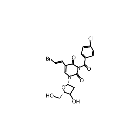 O=C(c1ccc(Cl)cc1)n1c(=O)c(C=CBr)cn([C@@H]2CC(O)[C@H](CO)O2)c1=O